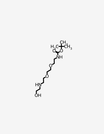 CC(C)(C)OC(=O)NCCOCCOCCNCCO